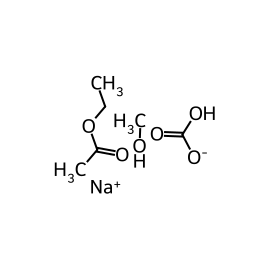 CCOC(C)=O.CO.O=C([O-])O.[Na+]